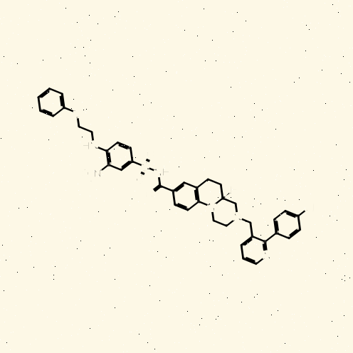 O=C(NS(=O)(=O)c1ccc(NCCSc2ccccc2)c([N+](=O)[O-])c1)c1ccc2c(c1)CC[C@@H]1CN(Cc3cccnc3-c3ccc(Cl)cc3)CCN21